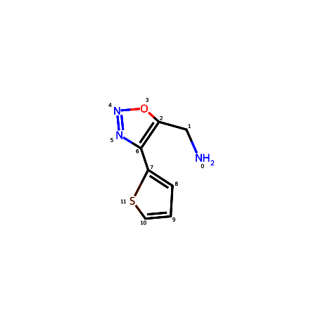 NCc1onnc1-c1cccs1